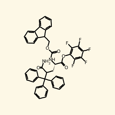 NC(=O)C(C[C@H](NC(=O)OCC1c2ccccc2-c2ccccc21)C(=O)Oc1c(F)c(F)c(F)c(F)c1F)C(c1ccccc1)(c1ccccc1)c1ccccc1